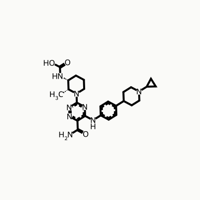 C[C@@H]1[C@H](NC(=O)O)CCCN1c1nnc(C(N)=O)c(Nc2ccc(C3CCN(C4CC4)CC3)cc2)n1